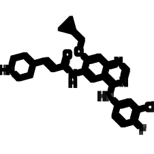 O=C(/C=C/C1CCNCC1)Nc1cc2c(Nc3ccc(F)c(Cl)c3)ncnc2cc1OCC1CC1